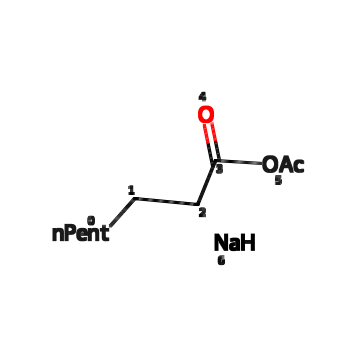 CCCCCCCC(=O)OC(C)=O.[NaH]